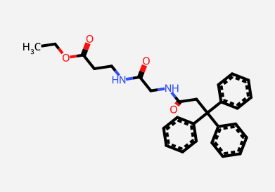 CCOC(=O)CCNC(=O)CNC(=O)CC(c1ccccc1)(c1ccccc1)c1ccccc1